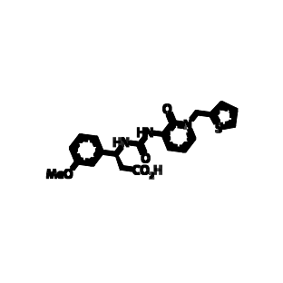 COc1cccc([C@H](CC(=O)O)NC(=O)Nc2cccn(Cc3cccs3)c2=O)c1